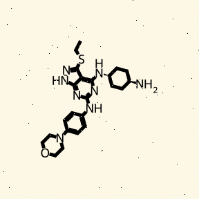 CCSc1n[nH]c2nc(Nc3ccc(N4CCOCC4)cc3)nc(N[C@H]3CC[C@H](N)CC3)c12